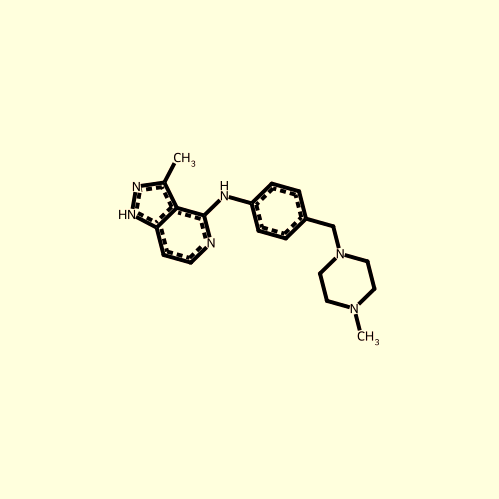 Cc1n[nH]c2ccnc(Nc3ccc(CN4CCN(C)CC4)cc3)c12